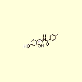 Cc1ccc(C(=O)N/N=C/c2ccc(O)cc2O)cc1